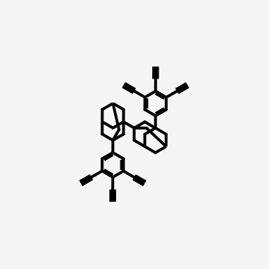 C#Cc1cc(C23CC4CC(C2)CC(C25CC6CC(CC(c7cc(C#C)c(C#C)c(C#C)c7)(C6)C2)C5)(C4)C3)cc(C#C)c1C#C